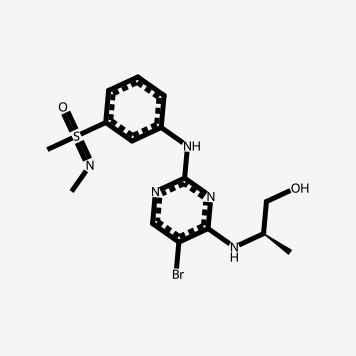 CN=S(C)(=O)c1cccc(Nc2ncc(Br)c(N[C@H](C)CO)n2)c1